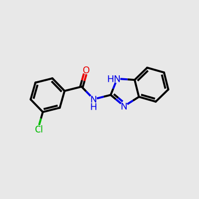 O=C(Nc1nc2ccccc2[nH]1)c1cccc(Cl)c1